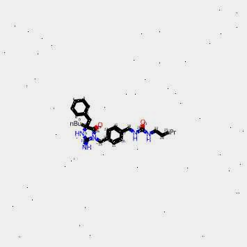 CCCCC1(CC2CCCCC2)NC(=N)N(Cc2ccc(CNC(=O)NCCC(C)C)cc2)C1=O